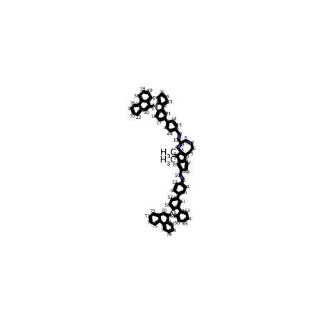 CC1(C)C2=C(CC\C=C/C(/C=C/c3ccc(-c4ccc5c(c4)c4ccccc4n5-c4cc5ccccc5c5ccccc45)cc3)=C\2)c2ccc(/C=C/c3ccc(-c4ccc5c(c4)c4ccccc4n5-c4cc5ccccc5c5ccccc45)cc3)cc21